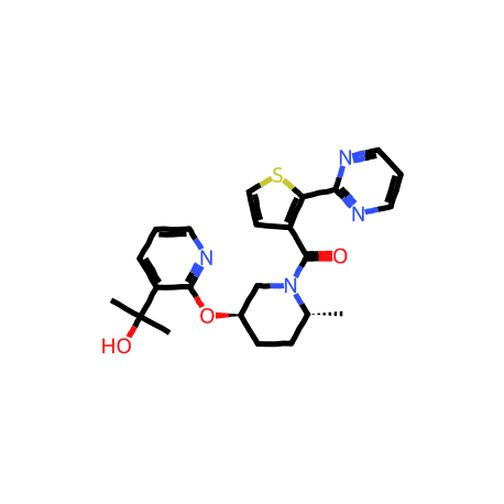 C[C@@H]1CC[C@@H](Oc2ncccc2C(C)(C)O)CN1C(=O)c1ccsc1-c1ncccn1